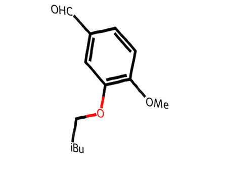 CCC(C)COc1cc(C=O)ccc1OC